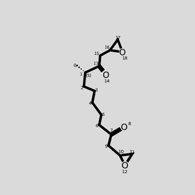 C[C@@H](CCCCCC(=O)CC1CO1)C(=O)CC1CO1